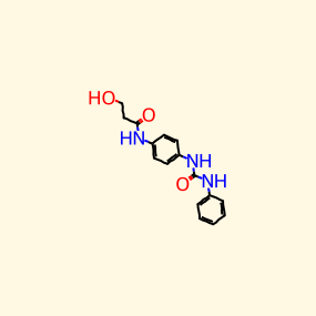 O=C(CCO)Nc1ccc(NC(=O)Nc2ccccc2)cc1